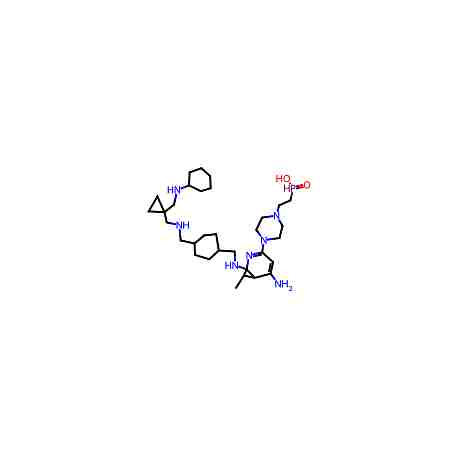 CC1C2C(N)=CC(N3CCN(CC[PH](=O)O)CC3)=NC12NCC1CCC(CNCC2(CNC3CCCCC3)CC2)CC1